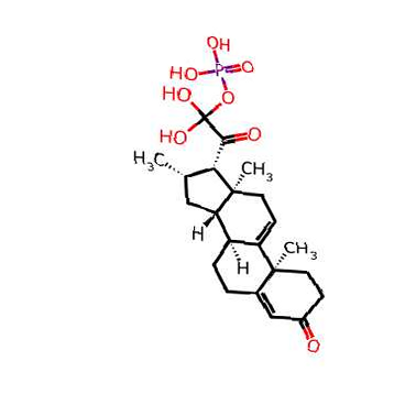 C[C@H]1C[C@H]2[C@@H]3CCC4=CC(=O)CC[C@]4(C)C3=CC[C@]2(C)[C@H]1C(=O)C(O)(O)OP(=O)(O)O